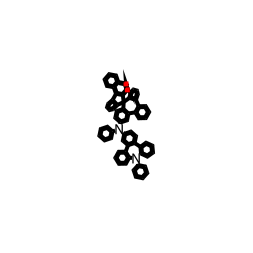 c1ccc(N(c2ccc3c(c2)-c2ccccc2N(c2ccccc2)c2ccccc2-3)c2ccc3c(c2)-c2ccccc2-c2ccccc2C32c3ccccc3-c3c2c2ccccc2c2ccccc32)cc1